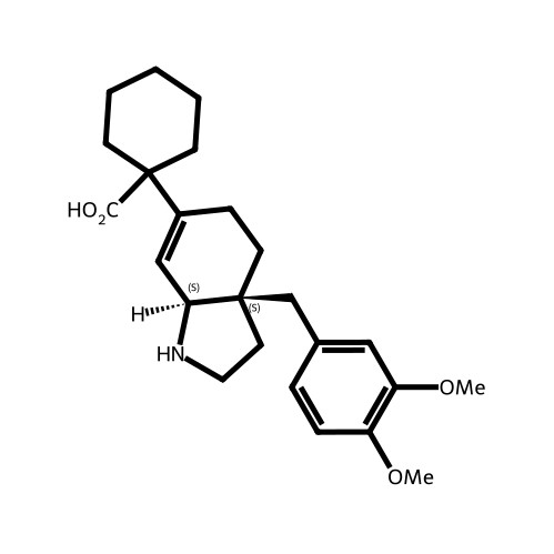 COc1ccc(C[C@@]23CCN[C@H]2C=C(C2(C(=O)O)CCCCC2)CC3)cc1OC